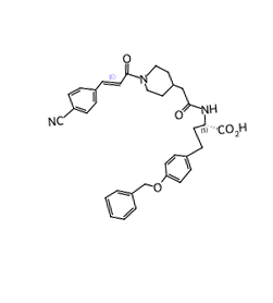 N#Cc1ccc(/C=C/C(=O)N2CCC(CC(=O)N[C@@H](CCc3ccc(OCc4ccccc4)cc3)C(=O)O)CC2)cc1